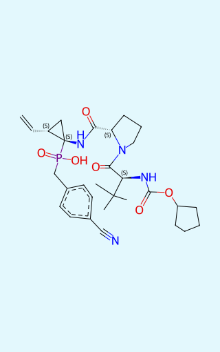 C=C[C@@H]1C[C@]1(NC(=O)[C@@H]1CCCN1C(=O)[C@@H](NC(=O)OC1CCCC1)C(C)(C)C)P(=O)(O)Cc1ccc(C#N)cc1